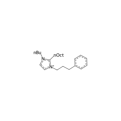 CCCCCCCCc1n(CCCC)cc[n+]1CCCc1ccccc1